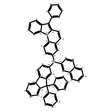 c1ccc(-c2c3ccccc3n3c2ccc2cc(N(c4ccc5c(c4)C(c4ccccc4)(c4ccccc4)c4ccccc4-5)c4ccc5ccccc5c4)ccc23)cc1